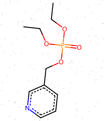 CCOP(=O)(OCC)OCc1cccnc1